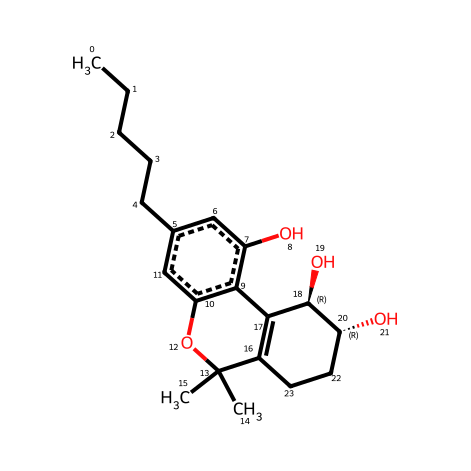 CCCCCc1cc(O)c2c(c1)OC(C)(C)C1=C2[C@@H](O)[C@H](O)CC1